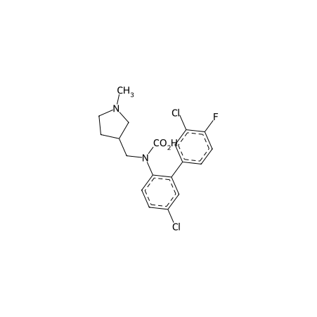 CN1CCC(CN(C(=O)O)c2ccc(Cl)cc2-c2ccc(F)c(Cl)c2)C1